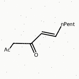 CCCCCC=CC(=O)CC(C)=O